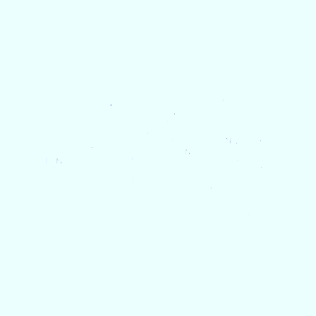 CS(=O)(=O)Nc1ccccc1CNS(=O)(=O)c1cccc2c(N)cccc12